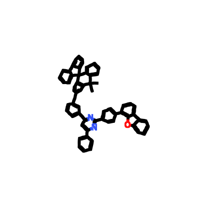 CC1(C)c2ccccc2C2(c3ccccc3-c3ccccc32)c2ccc(-c3cccc(-c4cc(-c5ccccc5)nc(-c5ccc(-c6cccc7c6oc6ccccc67)cc5)n4)c3)cc21